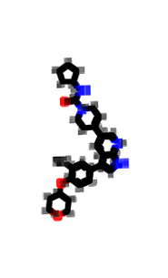 N#Cc1cc(-c2c[nH]c3ncc(C4=CCN(C(=O)NC5CCCC5)CC4)cc23)ccc1OC1CCOCC1